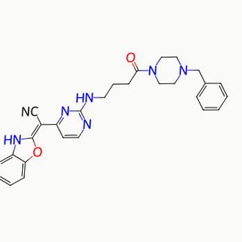 N#C/C(=C1\Nc2ccccc2O1)c1ccnc(NCCCC(=O)N2CCN(Cc3ccccc3)CC2)n1